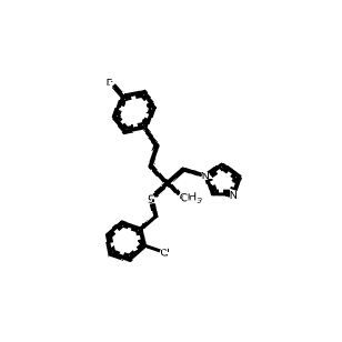 CC(CCc1ccc(F)cc1)(Cn1ccnc1)SCc1ccccc1Cl